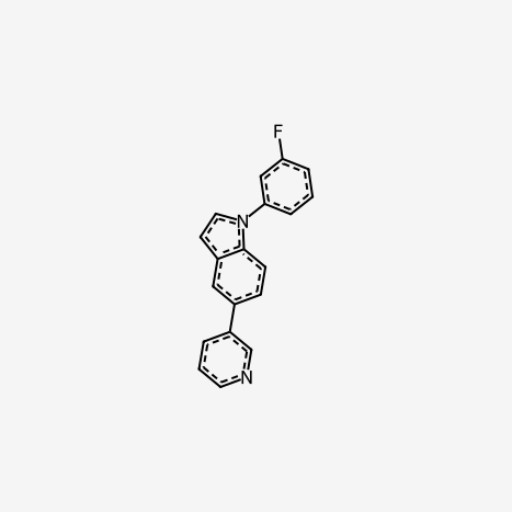 Fc1cccc(-n2ccc3cc(-c4cccnc4)ccc32)c1